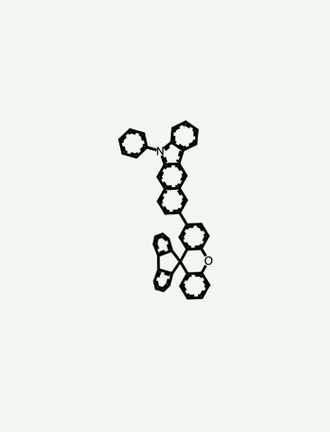 c1ccc(-n2c3ccccc3c3cc4cc(-c5ccc6c(c5)C5(c7ccccc7O6)c6ccccc6-c6ccccc65)ccc4cc32)cc1